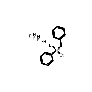 CC[N+](CC)(Cc1ccccc1)c1ccccc1.F.F.F.F